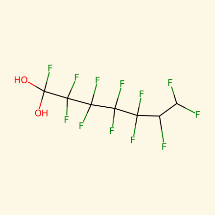 OC(O)(F)C(F)(F)C(F)(F)C(F)(F)C(F)(F)C(F)C(F)F